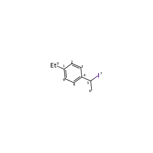 CCc1ccc(C(C)I)cc1